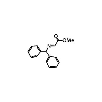 COC(=O)C=NC(c1ccccc1)c1ccccc1